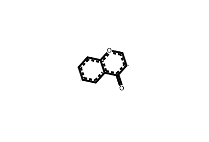 O=c1[c]coc2cc[c]cc12